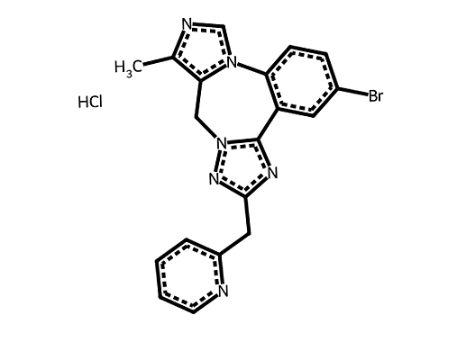 Cc1ncn2c1Cn1nc(Cc3ccccn3)nc1-c1cc(Br)ccc1-2.Cl